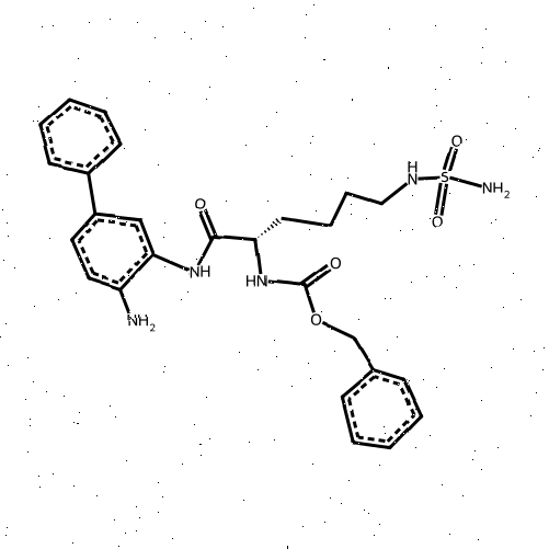 Nc1ccc(-c2ccccc2)cc1NC(=O)[C@H](CCCCNS(N)(=O)=O)NC(=O)OCc1ccccc1